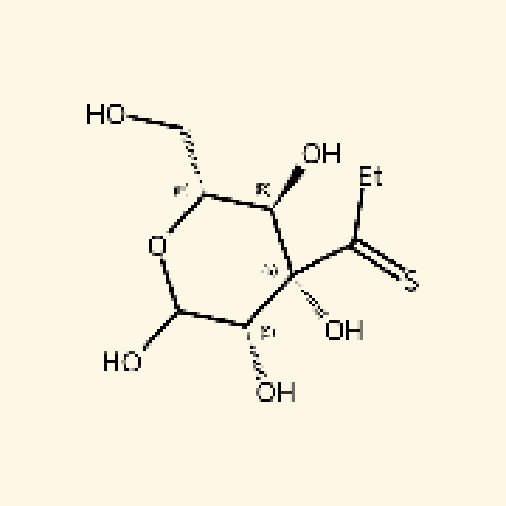 CCC(=S)[C@@]1(O)[C@H](O)C(O)O[C@H](CO)[C@H]1O